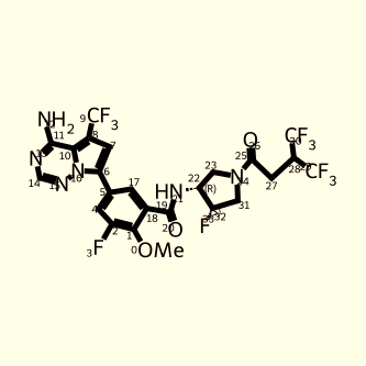 COc1c(F)cc(-c2cc(C(F)(F)F)c3c(N)ncnn23)cc1C(=O)N[C@@H]1CN(C(=O)CC(C(F)(F)F)C(F)(F)F)C[C@@H]1F